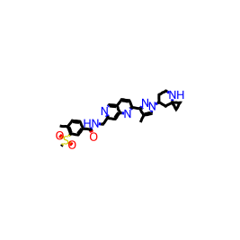 Cc1ccc(C(=O)NCc2cc3nc(-c4nn(C5CCNC6(CC6)C5)cc4C)ccc3cn2)cc1S(C)(=O)=O